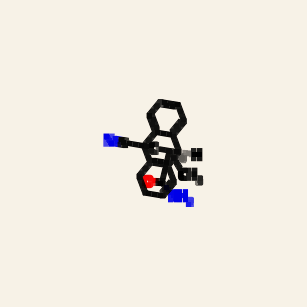 CC1(C(N)=O)CC2(C#N)C3=C(C=CCC3)[C@@H]1c1ccccc12